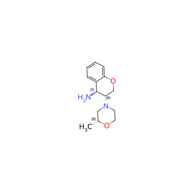 C[C@@H]1CN([C@H]2COc3ccccc3[C@@H]2N)CCO1